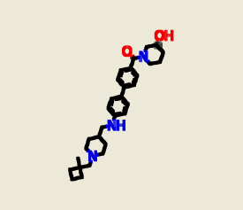 CC1(CN2CCC(CNc3ccc(-c4ccc(C(=O)N5CCC[C@@H](O)C5)cc4)cc3)CC2)CCC1